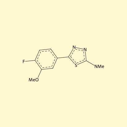 CNc1nnc(-c2ccc(F)c(OC)c2)s1